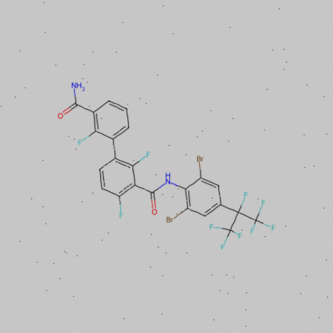 NC(=O)c1cccc(-c2ccc(F)c(C(=O)Nc3c(Br)cc(C(F)(C(F)(F)F)C(F)(F)F)cc3Br)c2F)c1F